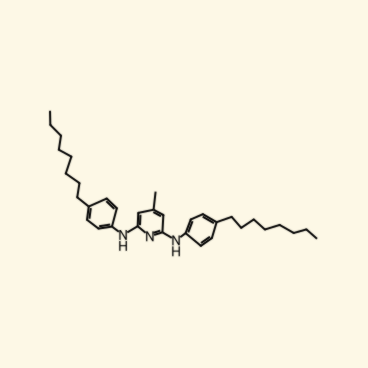 CCCCCCCCc1ccc(Nc2cc(C)cc(Nc3ccc(CCCCCCCC)cc3)n2)cc1